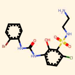 NCCNS(=O)(=O)c1c(Cl)ccc(NC(=O)Nc2ccccc2Br)c1O